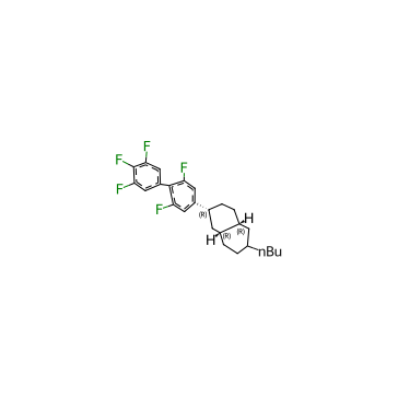 CCCCC1CC[C@@H]2C[C@H](c3cc(F)c(-c4cc(F)c(F)c(F)c4)c(F)c3)CC[C@@H]2C1